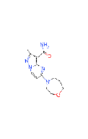 Cc1nn2ccc(N3CCCOCC3)nc2c1C(N)=O